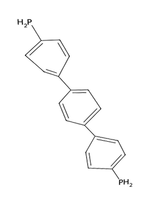 Pc1ccc(-c2ccc(-c3ccc(P)cc3)cc2)cc1